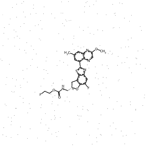 COc1cnc2c(-c3nc4cc(F)c5c(c4s3)C[C@@H](CNC(=O)OCCF)O5)cc(C)cc2n1